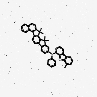 Cc1cccc2c1oc1c(N(c3ccccc3)c3ccc4c(c3)C(C)(C)c3c-4ccc4c3C(C)(C)c3ccc5ccccc5c3-4)cccc12